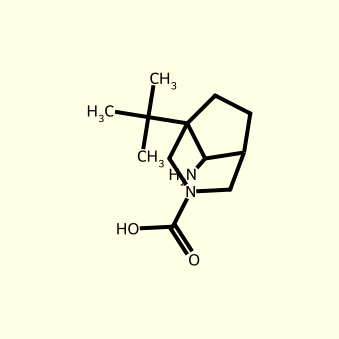 CC(C)(C)C12CCC(CN(C(=O)O)C1)C2N